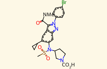 CNC(=O)c1c2cc(C3CC3)c(N(C3CCN(C(=O)O)C3)S(C)(=O)=O)cc2nn1-c1ccc(Br)cc1